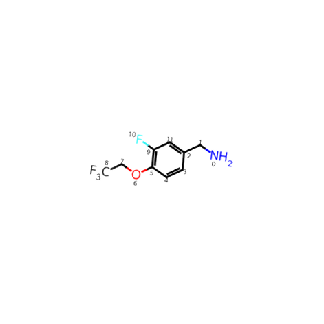 NCc1ccc(OCC(F)(F)F)c(F)c1